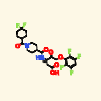 O=C(O)C[C@H](NC(=O)C1CCN(C(=O)C2CCC(F)(F)CC2)CC1)C(=O)COc1c(F)c(F)cc(F)c1F